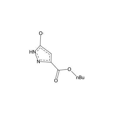 CCCCOC(=O)c1cc([O])[nH]n1